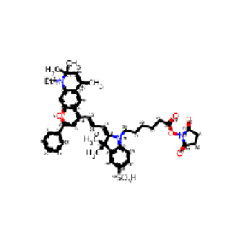 CCN1c2cc3[o+]c(-c4ccccc4)cc(/C=C/C=C4/N(CCCCCC(=O)ON5C(=O)CCC5=O)c5ccc(S(=O)(=O)O)cc5C4(C)C)c3cc2C(C)=CC1(C)C